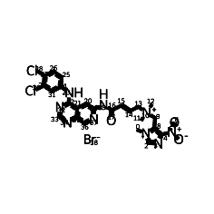 Cn1cnc([N+](=O)[O-])c1C[N+](C)(C)C/C=C/C(=O)Nc1cc2c(Nc3ccc(Cl)c(Cl)c3)ncnc2cn1.[Br-]